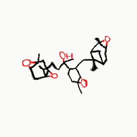 CC(CCC(C)(O)C1CCC2(C)OC2C1CC1(C)C2CC3OC3(C)C1C2)C12CC3OC3(C)CC1O2